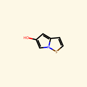 Oc1cc2ccsn2c1